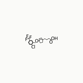 O=C(O)CCCC12CCC(OCc3cc(C(F)(F)F)ccc3Cl)(CC1)C2